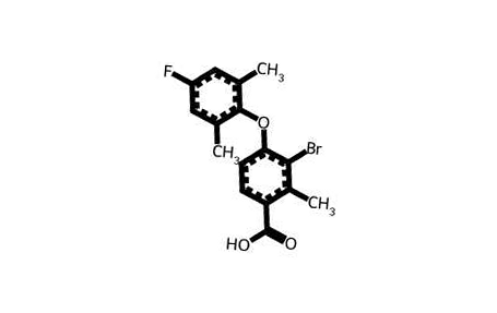 Cc1cc(F)cc(C)c1Oc1ccc(C(=O)O)c(C)c1Br